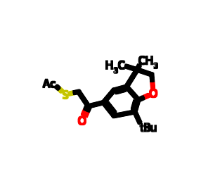 CC(=O)SCC(=O)c1cc(C(C)(C)C)c2c(c1)C(C)(C)CO2